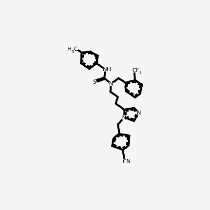 Cc1ccc(NC(=S)N(CCCc2cncn2Cc2ccc(C#N)cc2)Cc2ccccc2C(F)(F)F)cc1